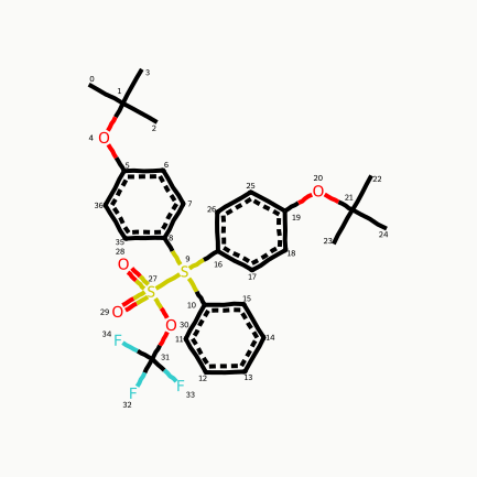 CC(C)(C)Oc1ccc(S(c2ccccc2)(c2ccc(OC(C)(C)C)cc2)S(=O)(=O)OC(F)(F)F)cc1